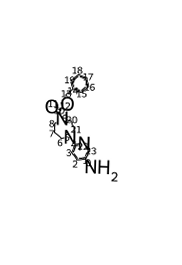 Nc1ccc(N2CCCN(C(=O)OCc3ccccc3)CC2)nc1